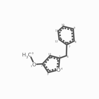 COc1coc(Cc2ccccc2)c1